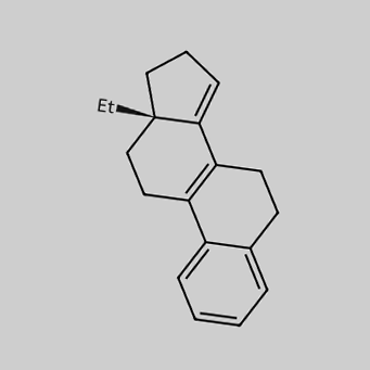 CC[C@@]12CCC=C1C1=C(CC2)c2ccccc2CC1